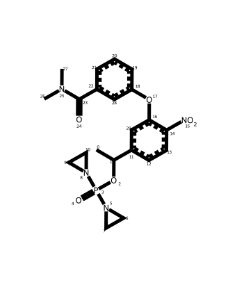 CC(OP(=O)(N1CC1)N1CC1)c1ccc([N+](=O)[O-])c(Oc2cccc(C(=O)N(C)C)c2)c1